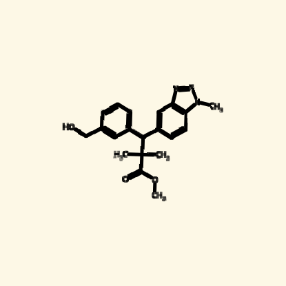 COC(=O)C(C)(C)C(c1cccc(CO)c1)c1ccc2c(c1)nnn2C